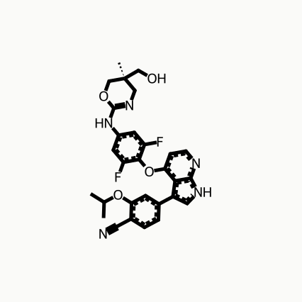 CC(C)Oc1cc(-c2c[nH]c3nccc(Oc4c(F)cc(NC5=NC[C@](C)(CO)CO5)cc4F)c23)ccc1C#N